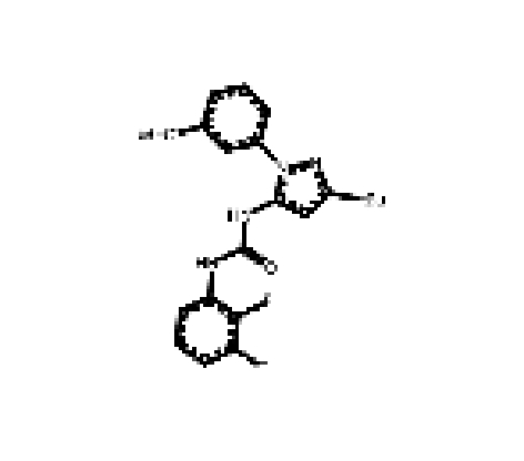 COc1cccc(-n2nc(C(C)(C)C)cc2NC(=O)Nc2cccc(F)c2F)c1